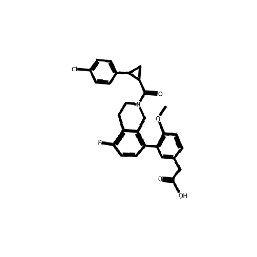 COc1ccc(CC(=O)O)cc1-c1ccc(F)c2c1CN(C(=O)C1CC1c1ccc(Cl)cc1)CC2